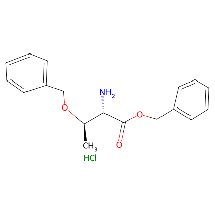 C[C@@H](OCc1ccccc1)[C@H](N)C(=O)OCc1ccccc1.Cl